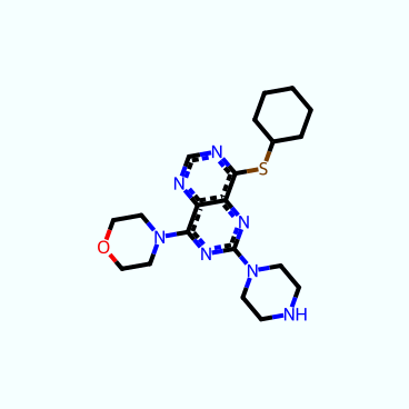 c1nc(SC2CCCCC2)c2nc(N3CCNCC3)nc(N3CCOCC3)c2n1